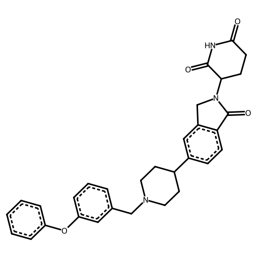 O=C1CCC(N2Cc3cc(C4CCN(Cc5cccc(Oc6ccccc6)c5)CC4)ccc3C2=O)C(=O)N1